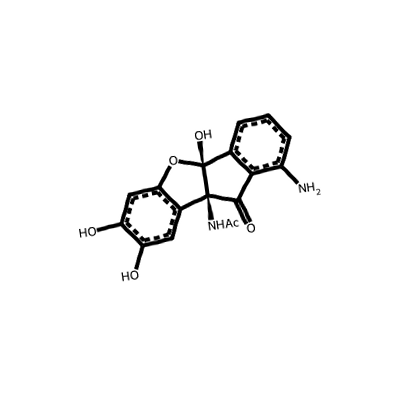 CC(=O)N[C@]12C(=O)c3c(N)cccc3[C@@]1(O)Oc1cc(O)c(O)cc12